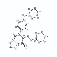 O=c1c2sccc2nc(-c2ccc(Cc3ccccc3)cc2)n1CCN1CCOCC1